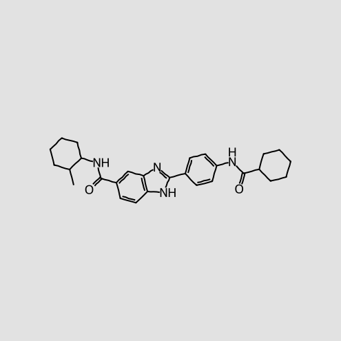 CC1CCCCC1NC(=O)c1ccc2[nH]c(-c3ccc(NC(=O)C4CCCCC4)cc3)nc2c1